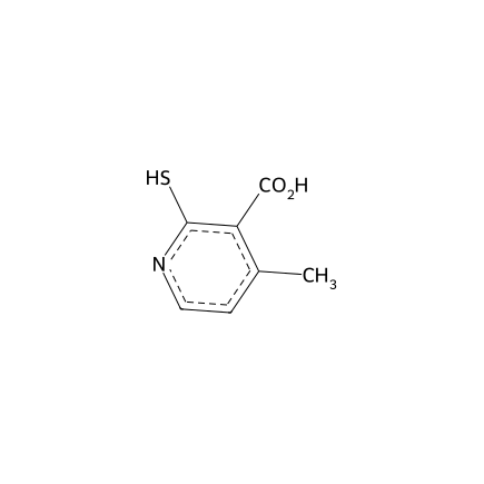 Cc1ccnc(S)c1C(=O)O